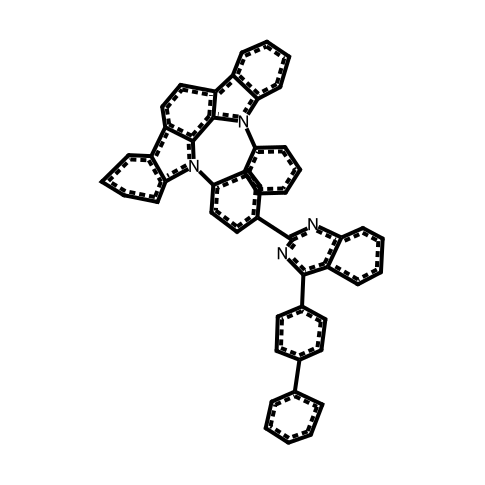 c1ccc(-c2ccc(-c3nc(-c4ccc(-n5c6ccccc6c6ccc7c8ccccc8n(-c8ccccc8)c7c65)cc4)nc4ccccc34)cc2)cc1